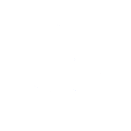 Cc1noc(C)c1-c1cnc2c(Br)cn(C(CC#N)C3CCCC3)c2c1